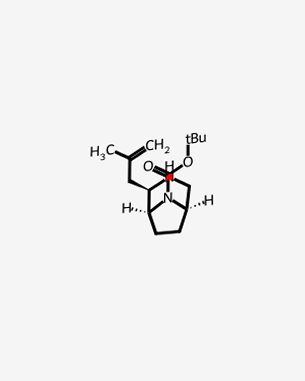 C=C(C)C[C@H]1NC[C@H]2CC[C@@H]1N2C(=O)OC(C)(C)C